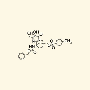 CCc1nc2n(c(=O)c1O)CC1(COS(=O)(=O)c3ccc(C)cc3)CCC2(NC(=O)OCc2ccccc2)CC1